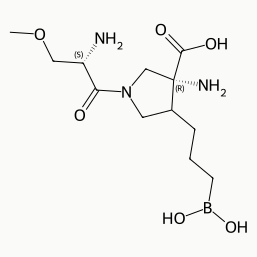 COC[C@H](N)C(=O)N1CC(CCCB(O)O)[C@](N)(C(=O)O)C1